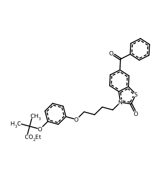 CCOC(=O)C(C)(C)Oc1cccc(OCCCCn2c(=O)sc3cc(C(=O)c4ccccc4)ccc32)c1